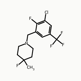 CC1(F)CCN(Cc2cc(C(F)(F)F)cc(Cl)c2F)CC1